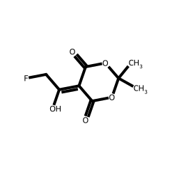 CC1(C)OC(=O)C(=C(O)CF)C(=O)O1